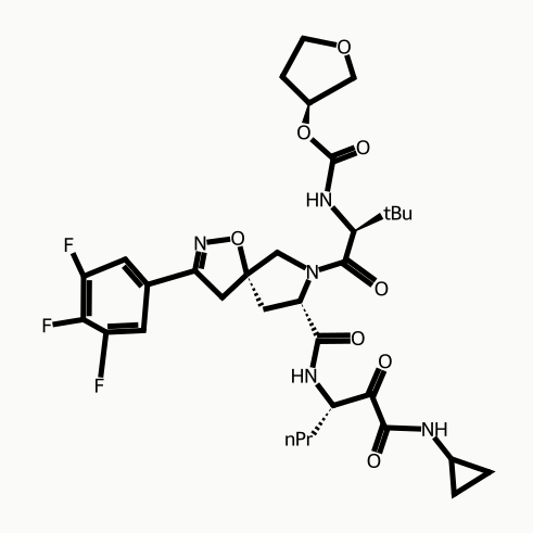 CCC[C@H](NC(=O)[C@@H]1C[C@@]2(CC(c3cc(F)c(F)c(F)c3)=NO2)CN1C(=O)[C@@H](NC(=O)O[C@H]1CCOC1)C(C)(C)C)C(=O)C(=O)NC1CC1